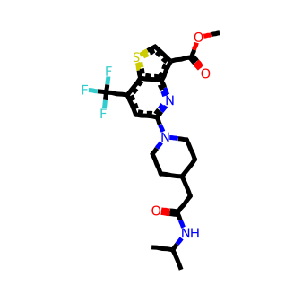 COC(=O)c1csc2c(C(F)(F)F)cc(N3CCC(CC(=O)NC(C)C)CC3)nc12